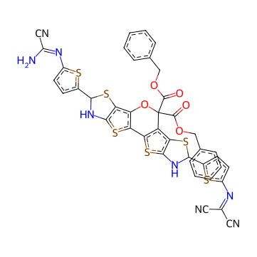 N#CC(C#N)=Nc1ccc(C2Nc3sc4c(c3S2)C(C(=O)OCc2ccccc2)(C(=O)OCc2ccccc2)Oc2c-4sc3c2SC(c2ccc(/N=C(\N)C#N)s2)N3)s1